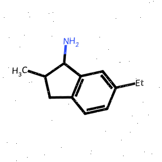 CCc1ccc2c(c1)C(N)C(C)C2